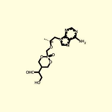 C[C@H](Cn1cnc2c(N)ncnc21)OCP1(=O)OCC(C(C=O)CO)CO1